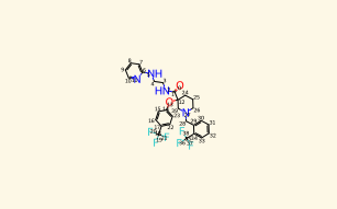 O=C(NCCNc1ccccn1)C1(Oc2ccc(C(F)(F)F)cc2)CCCN(Cc2ccccc2C(F)(F)F)C1